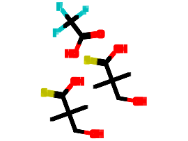 CC(C)(CO)C(O)=S.CC(C)(CO)C(O)=S.O=C(O)C(F)(F)F